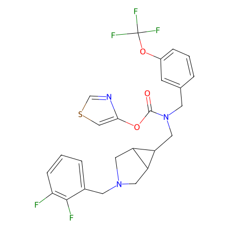 O=C(Oc1cscn1)N(Cc1cccc(OC(F)(F)F)c1)CC1C2CN(Cc3cccc(F)c3F)CC21